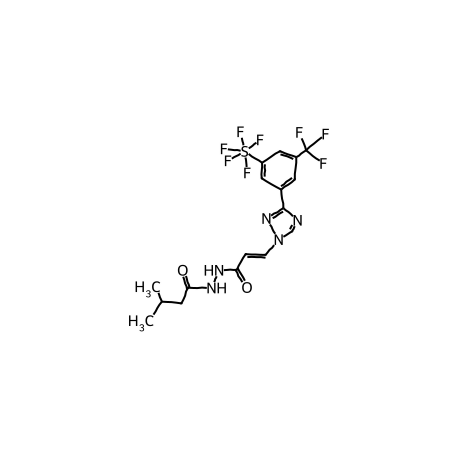 CC(C)CC(=O)NNC(=O)C=Cn1cnc(-c2cc(C(F)(F)F)cc(S(F)(F)(F)(F)F)c2)n1